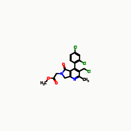 COC(=O)CN1Cc2nc(C)c(CCl)c(-c3ccc(Cl)cc3Cl)c2C1=O